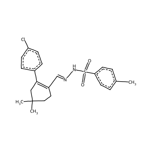 Cc1ccc(S(=O)(=O)N/N=C/C2=C(c3ccc(Cl)cc3)CC(C)(C)CC2)cc1